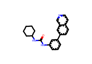 O=C(Nc1cccc(-c2ccc3ccncc3c2)c1)NC1CCCCC1